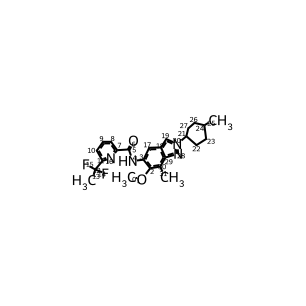 COc1c(NC(=O)c2cccc(C(C)(F)F)n2)cc2cn(C3CCC(C)CC3)nc2c1C